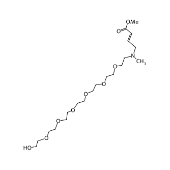 COC(=O)/C=C/CN(C)CCOCCOCCOCCOCCOCCOCCO